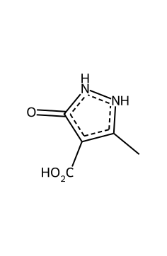 Cc1[nH][nH]c(=O)c1C(=O)O